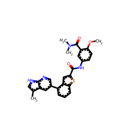 COc1ccc(NC(=O)c2cc3c(-c4cnc5[nH]cc(C)c5c4)cccc3s2)cc1C(=O)N(C)C